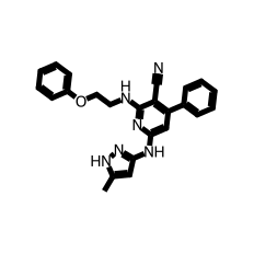 Cc1cc(Nc2cc(-c3ccccc3)c(C#N)c(NCCOc3ccccc3)n2)n[nH]1